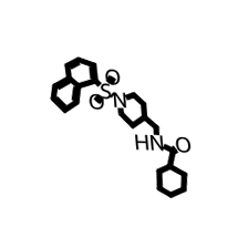 O=C(NCC1CCN(S(=O)(=O)c2cccc3ccccc23)CC1)C1CCCCC1